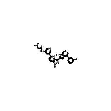 CN(C)CC(=O)Nc1cncc(-c2ccc3[nH]nc(-c4cc5c(-c6cccc(F)c6)cncc5[nH]4)c3n2)c1